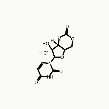 C[C@@]1(O)C(n2ccc(=O)[nH]c2=O)OC2COC(=O)O[C@H]21